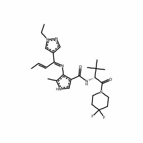 CC=C/C(=N\c1c(C(=O)N[C@@H](C(=O)N2CCC(F)(F)CC2)C(C)(C)C)c[nH]c1C)c1cnn(CC)c1